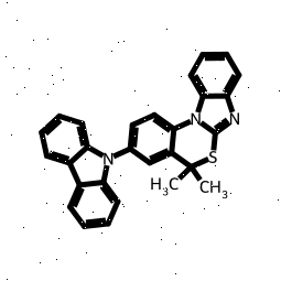 CC1(C)Sc2nc3ccccc3n2-c2ccc(-n3c4ccccc4c4ccccc43)cc21